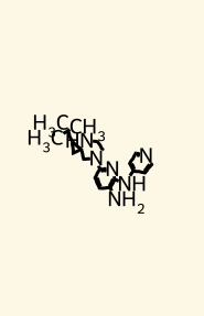 CC(C)(C)C1CC12CN(c1ccc(N)c(Nc3ccncc3)n1)CCN2